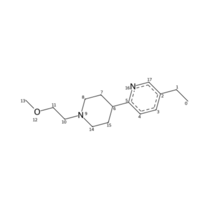 CCc1ccc(C2CCN(CCOC)CC2)nc1